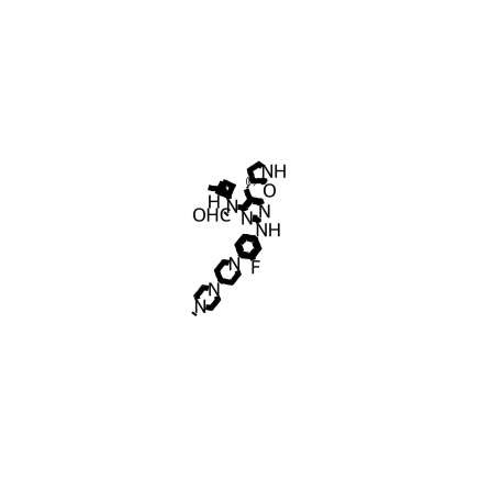 C[C@@H]1C2CC1(N(C=O)c1nc(Nc3ccc(N4CCC(N5CCN(C)CC5)CC4)c(F)c3)ncc1C[C@@H]1CCNC1=O)C2